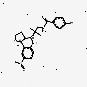 CC(C)(CNC(=O)c1ccc(Br)cc1)[C@H]1Nc2ccc([N+](=O)[O-])cc2[C@H]2OCC[C@H]21